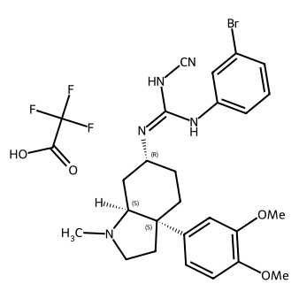 COc1ccc([C@@]23CC[C@@H](N=C(NC#N)Nc4cccc(Br)c4)C[C@@H]2N(C)CC3)cc1OC.O=C(O)C(F)(F)F